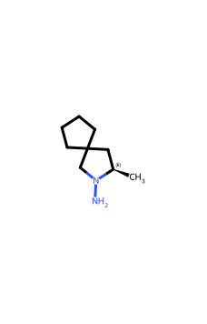 C[C@@H]1CC2(CCCC2)CN1N